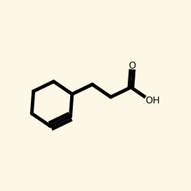 O=C(O)CCC1C#CCCC1